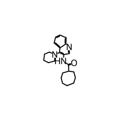 O=C(Nc1cnc2ccccc2c1N1CCCCC1)C1CCCCCCC1